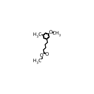 CCOC(=O)CCCCc1cc(C)cc(OC)c1